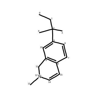 CCC(C)(C)c1ccc2c(c1)CN(C)C=C2